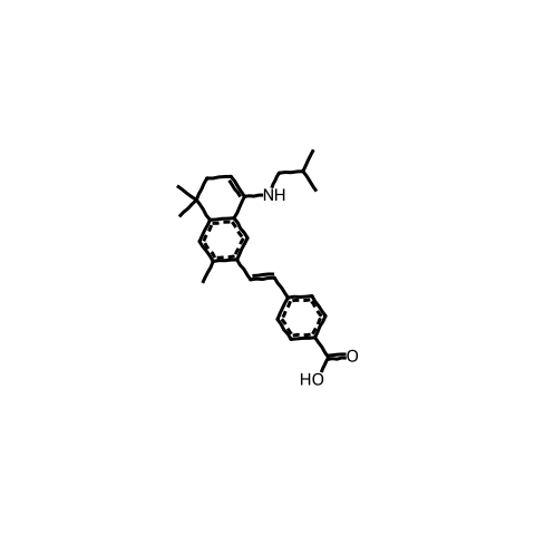 Cc1cc2c(cc1C=Cc1ccc(C(=O)O)cc1)C(NCC(C)C)=CCC2(C)C